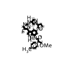 COCC(C(=O)Nc1cccc2c(-c3nc(Nc4cnn(C5CCOC5)c4)ncc3F)c[nH]c12)N1CCN(C)CC1